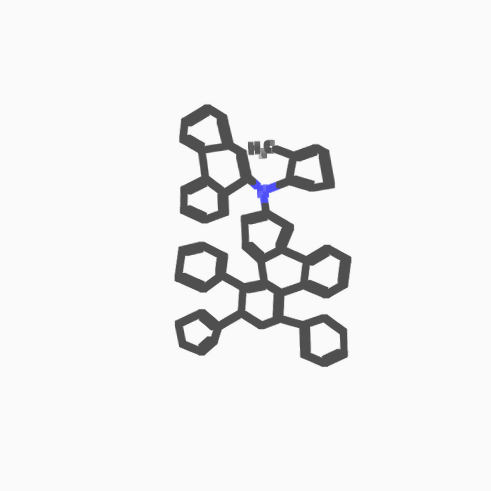 Cc1ccccc1N(c1ccc2c3c(c4ccccc4c2c1)=C(C1=CC=CCC1)CC(C1=CCCC=C1)C=3c1ccccc1)c1cc2ccccc2c2ccccc12